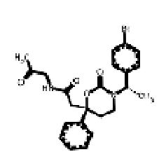 CC(=O)CNC(=O)C[C@]1(c2ccccc2)CCN([C@@H](C)c2ccc(Br)cc2)C(=O)O1